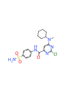 CN(c1cc(C(=O)Nc2ccc(S(N)(=O)=O)cc2)nc(Cl)n1)C1CCCCC1